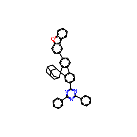 c1ccc(-c2nc(-c3ccccc3)nc(-c3ccc4c(c3)C3(c5cc(-c6ccc7oc8ccccc8c7c6)ccc5-4)C4CC5CC(C4)CC3C5)n2)cc1